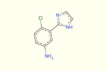 Nc1ccc(Cl)c(-c2ncc[nH]2)c1